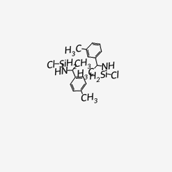 Cc1ccc(C(C)N[SiH2]Cl)cc1.Cc1cccc(C(C)N[SiH2]Cl)c1